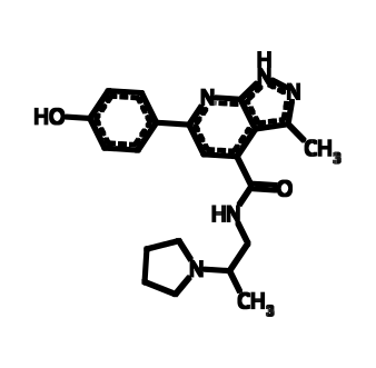 Cc1n[nH]c2nc(-c3ccc(O)cc3)cc(C(=O)NCC(C)N3CCCC3)c12